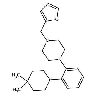 CC1(C)CCC(c2ccccc2N2CCN(Cc3ccco3)CC2)CC1